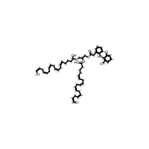 CC/C=C\C/C=C\C/C=C\C/C=C\C/C=C\CCCC(O)OCC(COC(=O)Cc1ccccc1Nc1c(Cl)cccc1Cl)OC(O)CCC/C=C\C/C=C\C/C=C\C/C=C\C/C=C\CC